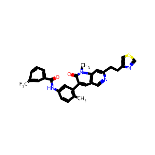 Cc1ccc(NC(=O)c2cccc(C(F)(F)F)c2)cc1-c1cc2cnc(CCc3cscn3)cc2n(C)c1=O